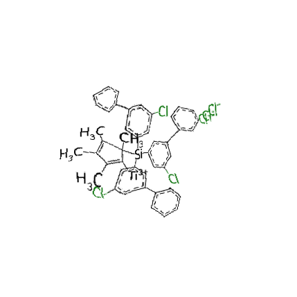 CC1=C(C)C(C)([Si](c2cc(Cl)cc(-c3ccccc3)c2)(c2cc(Cl)cc(-c3ccccc3)c2)c2cc(Cl)cc(-c3ccccc3)c2)[C]([Ti+3])=C1C.[Cl-].[Cl-].[Cl-]